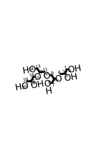 OCC(O)COC(CO)COCC(CO)OCC(O)CO